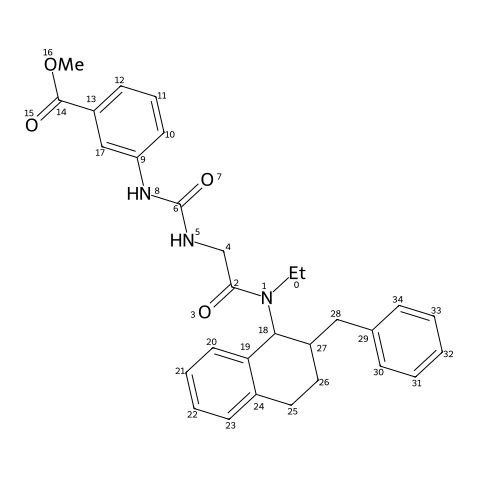 CCN(C(=O)CNC(=O)Nc1cccc(C(=O)OC)c1)C1c2ccccc2CCC1Cc1ccccc1